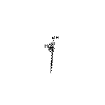 CCCCCCCCCCCCCCCCCC(=O)OC(CC(=O)OCCCO)C(=O)O